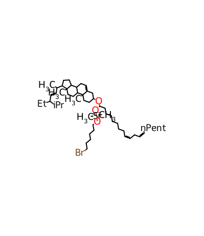 CCCCC/C=C\C/C=C\CCCCCCCC(OC1CCC2(C)C(=CCC3C2CCC2(C)C(C(C)/C=C/C(CC)C(C)C)CCC32)C1)O[Si](C)(C)OCCCCCCBr